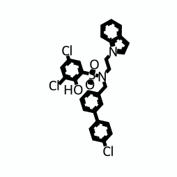 O=S(=O)(c1cc(Cl)cc(Cl)c1O)N(CCn1ccc2ccccc21)Cc1cccc(-c2ccc(Cl)cc2)c1